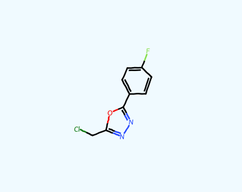 Fc1ccc(-c2nnc(CCl)o2)cc1